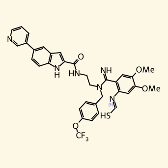 COc1cc(/N=C/S)c(C(=N)N(CCNC(=O)c2cc3cc(-c4cccnc4)ccc3[nH]2)Cc2ccc(OC(F)(F)F)cc2)cc1OC